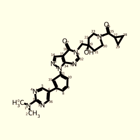 CN(C)c1ncc(-c2cccc(-n3ncc4c(=O)n(CC5(O)CCN(C(=O)C6CC6)CC5)cnc43)c2)cn1